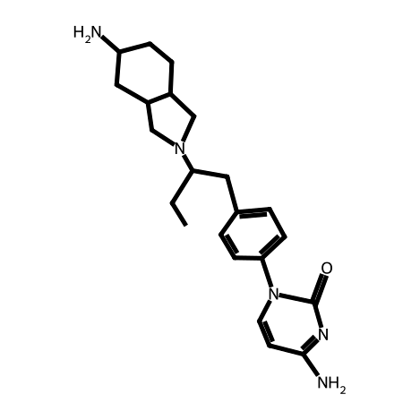 CCC(Cc1ccc(-n2ccc(N)nc2=O)cc1)N1CC2CCC(N)CC2C1